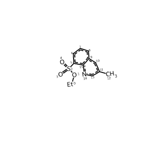 CCOS(=O)(=O)c1cccc2cc(C)cnc12